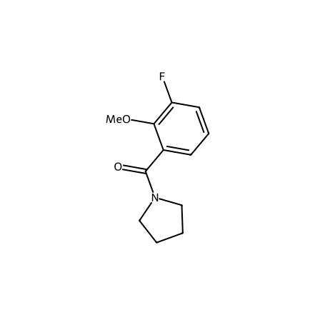 COc1c(F)cccc1C(=O)N1CCCC1